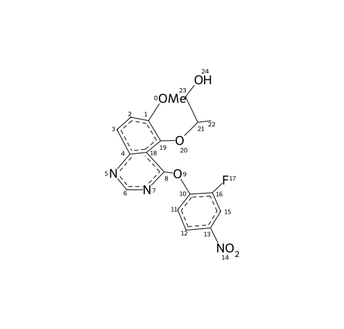 COc1ccc2ncnc(Oc3ccc([N+](=O)[O-])cc3F)c2c1OC(C)CO